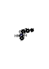 Cc1cc(-n2cccc2)ccc1-n1ccc(=O)c(/C(=C/C=N)Nc2ccccc2)n1